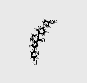 O=c1c2cc(-c3ccc(Cl)cn3)cn2ncn1-c1ccc(N2CCC(O)C2)nc1